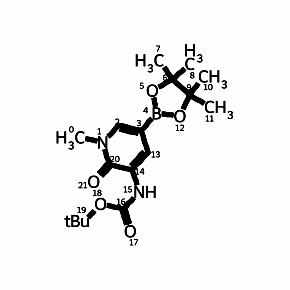 Cn1cc(B2OC(C)(C)C(C)(C)O2)cc(NC(=O)OC(C)(C)C)c1=O